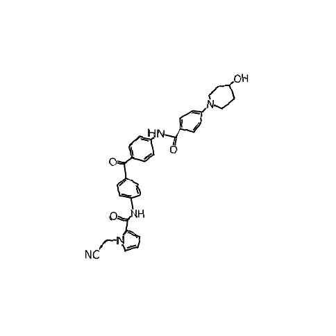 N#CCn1cccc1C(=O)Nc1ccc(C(=O)c2ccc(NC(=O)c3ccc(N4CCC(O)CC4)cc3)cc2)cc1